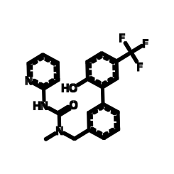 CN(Cc1cccc(-c2cc(C(F)(F)F)ccc2O)c1)C(=O)Nc1ccccn1